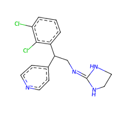 Clc1cccc(C(CN=C2NCCN2)c2ccncc2)c1Cl